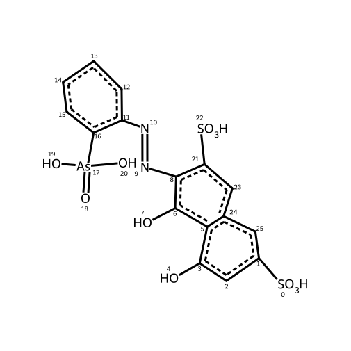 O=S(=O)(O)c1cc(O)c2c(O)c(N=Nc3ccccc3[As](=O)(O)O)c(S(=O)(=O)O)cc2c1